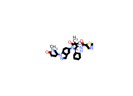 Cn1cc(-n2ncc3cc(N4C(=O)C(C)(C)[C@H](NC(=O)c5cncs5)[C@H]4c4ccccc4)ccc32)ccc1=O